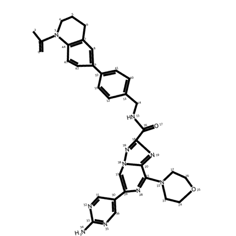 C=C(C)N1CCCc2cc(-c3ccc(CNC(=O)c4nc5c(N6CCOCC6)nc(-c6cnc(N)nc6)cn5n4)cc3)ccc21